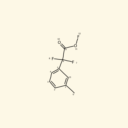 Cc1cccc(C(F)(F)C(=O)OF)c1